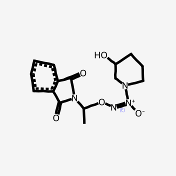 CC(O/N=[N+](/[O-])N1CCCC(O)C1)N1C(=O)c2ccccc2C1=O